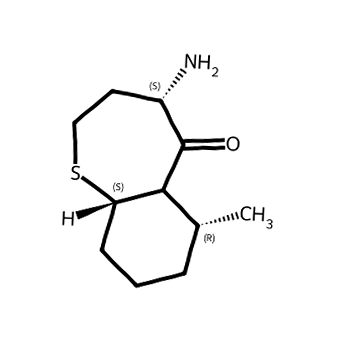 C[C@@H]1CCC[C@@H]2SCC[C@H](N)C(=O)C12